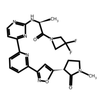 C[C@H](Nc1nccc(-c2cccc(-c3cc([C@@H]4CCN(C)C4=O)on3)n2)n1)C(=O)N1CC(F)(F)C1